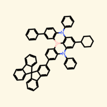 c1ccc(-c2ccc3c(c2)B2c4ccc(-c5ccc6c(c5)C5(c7ccccc7-c7ccccc75)c5ccccc5-6)cc4N(c4ccccc4)c4cc(C5CCCCC5)cc(c42)N3c2ccccc2)cc1